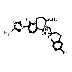 Cc1cn(-c2ccc3n(c2=O)CCC(C)N(CC2(C)CCc4cc(Br)ccc4O2)C3=O)cn1